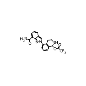 NC(=O)c1cccc2cn(-c3cccc4c3CCNC4OC(=O)C(F)(F)F)nc12